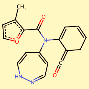 Cc1ccoc1C(=O)N(C1=CC=NNC=C1)C1=CC=CCC1=C=O